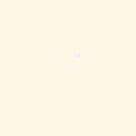 O=S1(=O)CC2(CN1)Cc1ncccc1N(c1ccc(C(F)(F)F)cc1)C2